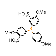 COc1ccc(P(c2ccc(OC)c(S(=O)(=O)O)c2)c2ccc(OC)c(S(=O)(=O)O)c2)cc1